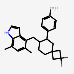 Cc1cc(C)c2[nH]ccc2c1CC1CCC2(CC1c1ccc(C(=O)O)cc1)CC(F)(F)C2